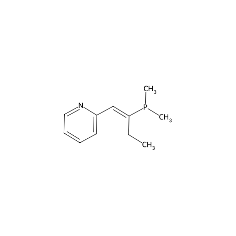 CC/C(=C\c1ccccn1)P(C)C